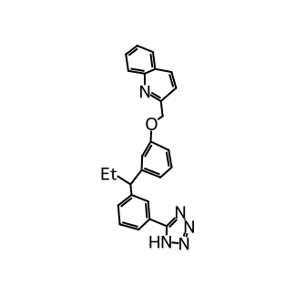 CCC(c1cccc(OCc2ccc3ccccc3n2)c1)c1cccc(-c2nnn[nH]2)c1